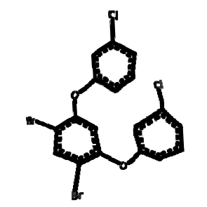 Clc1cccc(Oc2cc(Oc3cccc(Cl)c3)c(Br)cc2Br)c1